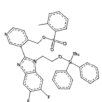 Cc1ccccc1S(=O)(=O)OCc1ccncc1-c1nc2cc(F)c(F)cc2n1CCO[Si](c1ccccc1)(c1ccccc1)C(C)(C)C